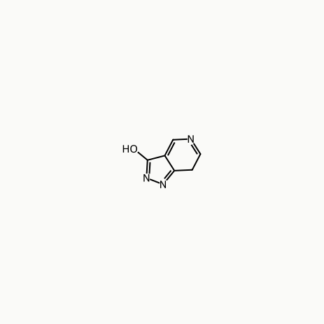 OC1=NN=C2CC=NC=C12